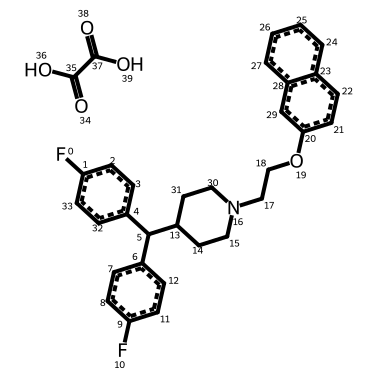 Fc1ccc(C(c2ccc(F)cc2)C2CCN(CCOc3ccc4ccccc4c3)CC2)cc1.O=C(O)C(=O)O